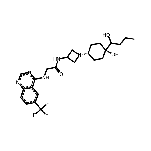 CCCC(O)[C@]1(O)CC[C@H](N2CC(NC(=O)CNc3ncnc4ccc(C(F)(F)F)cc34)C2)CC1